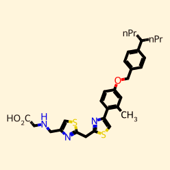 CCCC(CCC)c1ccc(COc2ccc(-c3csc(Cc4nc(CNCC(=O)O)cs4)n3)c(C)c2)cc1